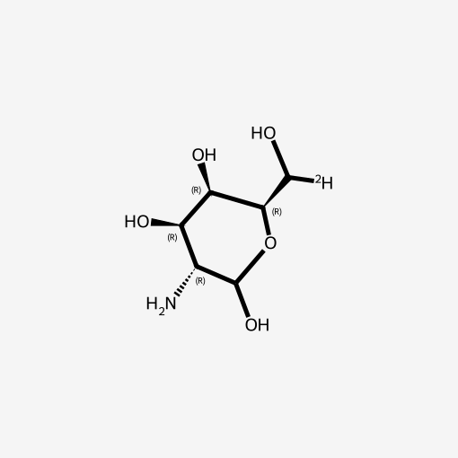 [2H]C(O)[C@H]1OC(O)[C@H](N)[C@@H](O)[C@H]1O